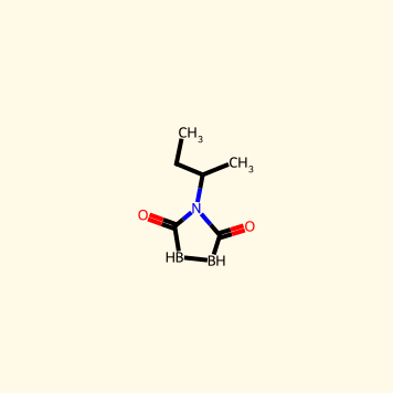 CCC(C)N1C(=O)BBC1=O